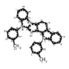 Cc1cccc(-n2c3ccccc3c3ccc4c(nc5n(-c6cccc(C)c6)c6ccccc6n45)c32)c1